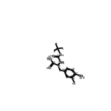 CC(C)(C)OC(=O)N[C@@H](Cc1ccc(N)c(I)c1)C(=O)O